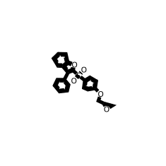 O=S(=O)(c1ccc(OCC2CO2)cc1)c1oc2ccccc2c1-c1ccccc1